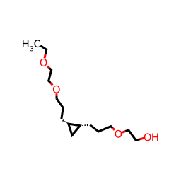 CCOCCOCCC[C@H]1C[C@H]1CCCOCCO